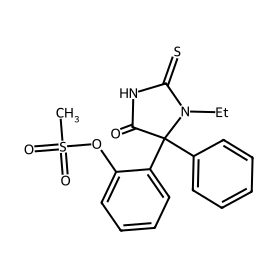 CCN1C(=S)NC(=O)C1(c1ccccc1)c1ccccc1OS(C)(=O)=O